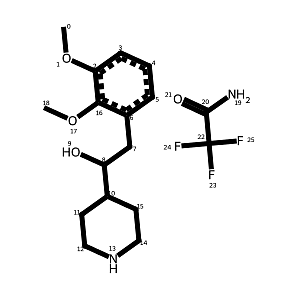 COc1cccc(CC(O)C2CCNCC2)c1OC.NC(=O)C(F)(F)F